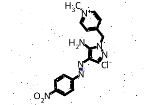 C[n+]1ccc(Cn2ncc(/N=N/c3ccc([N+](=O)[O-])cc3)c2N)cc1.[Cl-]